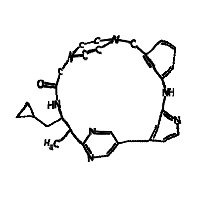 CC1c2ncc(cn2)-c2ccnc(c2)Nc2cccc(c2)CN2CCN(CC2)CC(=O)NC1CC1CC1